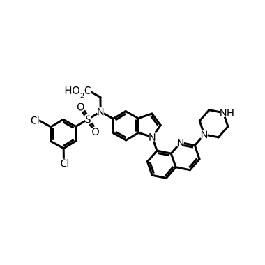 O=C(O)CN(c1ccc2c(ccn2-c2cccc3ccc(N4CCNCC4)nc23)c1)S(=O)(=O)c1cc(Cl)cc(Cl)c1